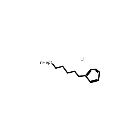 CCCCCCCCCCCCc1ccccc1.[Li]